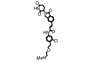 CNCCOCCc1ccc(NC(=O)C=Cc2ccc3c(c2)CN(C2CCC(=O)NC2=O)C3=O)cc1Cl